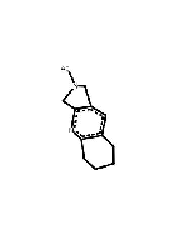 CC(=O)N1Cc2cc3c(nc2C1)CCCC3